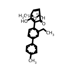 CCc1cc(-c2ccc(C)cc2)ccc1C1=C(O)[C@@]2(C)C=C[C@H](O2)C1=O